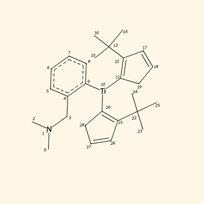 CN(C)Cc1cccc[c]1[Ti]([C]1=C(C(C)(C)C)C=CC1)[C]1=C(C(C)(C)C)C=CC1